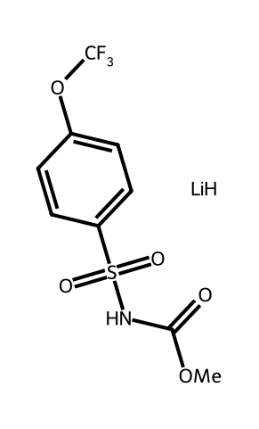 COC(=O)NS(=O)(=O)c1ccc(OC(F)(F)F)cc1.[LiH]